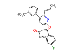 C/C=C/c1nc2oc(-c3ccc(F)cc3)c(C(=O)NC)c2cc1-c1cccc(C(=O)O)c1